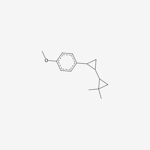 COc1ccc(C2CC2C2CC2(C)C)cc1